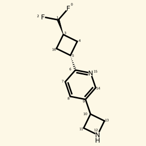 FC(F)[C@H]1C[C@H](c2ccc(C3CNC3)cn2)C1